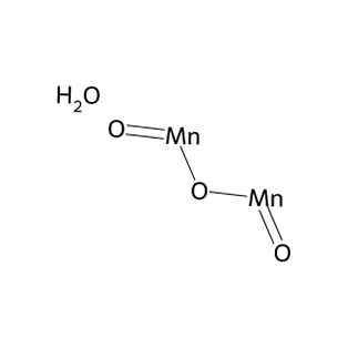 O.[O]=[Mn][O][Mn]=[O]